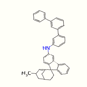 CC1C=C2CC(CCC23c2ccccc2-c2cc(Nc4cccc(-c5cccc(-c6ccccc6)c5)c4)ccc23)C1